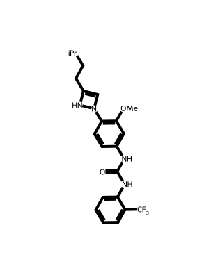 COc1cc(NC(=O)Nc2ccccc2C(F)(F)F)ccc1-n1cc(CCC(C)C)[nH]1